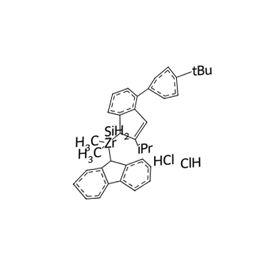 CC(C)C1=Cc2c(-c3ccc(C(C)(C)C)cc3)cccc2[CH]1[Zr]([CH3])([CH3])(=[SiH2])[CH]1c2ccccc2-c2ccccc21.Cl.Cl